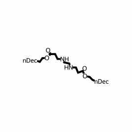 CCCCCCCCCCCCOC(=O)CCNCCNCCC(=O)OCCCCCCCCCCCC